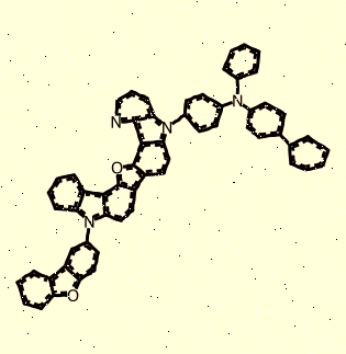 c1ccc(-c2ccc(N(c3ccccc3)c3ccc(-n4c5cccnc5c5c6oc7c(ccc8c7c7ccccc7n8-c7ccc8oc9ccccc9c8c7)c6ccc54)cc3)cc2)cc1